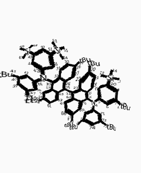 CC(C)(C)c1cc(N(c2cc(C(C)(C)C)cc([Si](C)(C)C)c2)c2c3ccc(C(C)(C)C)cc3c(-c3c4cc(C(C)(C)C)ccc4c(N(c4cc(C(C)(C)C)cc(C(C)(C)C)c4)c4cc([Si](C)(C)C)cc([Si](C)(C)C)c4)c4cc(C(C)(C)C)ccc34)c3ccc(C(C)(C)C)cc23)cc(C(C)(C)C)c1